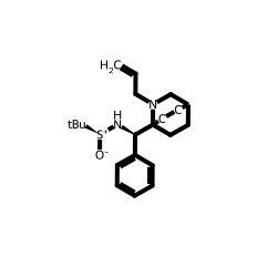 C=CCN1CC2CCC1([C@H](N[S@@+]([O-])C(C)(C)C)c1ccccc1)CC2